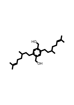 CC(C)=CCCC(C)CCc1cc(CO)c(CCC(C)CCC=C(C)C)cc1CO